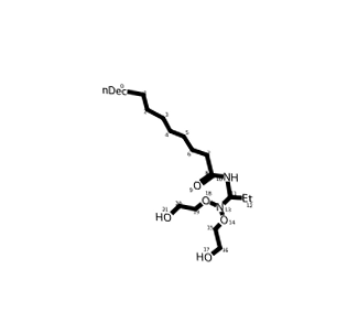 CCCCCCCCCCCCCCCCCC(=O)NC(CC)N(OCCO)OCCO